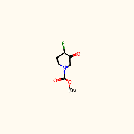 CC(C)(C)OC(=O)N1CCC(F)C(=O)C1